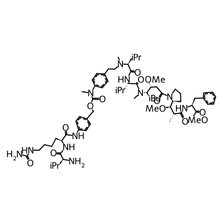 CC[C@H](C)[C@@H]([C@@H](CC(=O)N1CCC[C@H]1[C@H](OC)[C@@H](C)C(=O)N[C@@H](Cc1ccccc1)C(=O)OC)OC)N(C)C(=O)[C@@H](NC(=O)[C@H](C(C)C)N(C)CCc1ccc(N(C)C(=O)OCc2ccc(NC(=O)[C@H](CCCCNC(N)=O)NC(=O)[C@@H](N)C(C)C)cc2)cc1)C(C)C